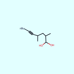 CCCCC#CC(C)CC(C)C(O)O